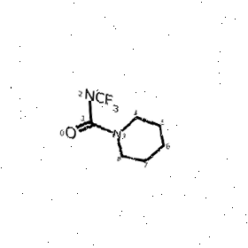 O=C(NC(F)(F)F)N1CCCCC1